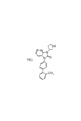 Cc1ccccc1-c1ccc(-n2c(=O)n(C3CCNC3)c3ncccc32)cc1.Cl